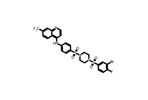 O=S(=O)(c1ccc(Nc2ccnc3cc(C(F)(F)F)ccc23)cc1)N1CCN(S(=O)(=O)c2ccc(F)c(Br)c2)CC1